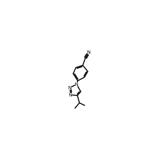 CC(C)c1cn(-c2ccc(C#N)cc2)nn1